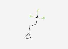 FC(F)(F)CCC1[CH]C1